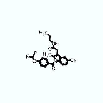 CCCNC(=O)Cc1c(C)n(C(=O)c2ccc(OC(F)F)cc2)c2ccc(O)cc12